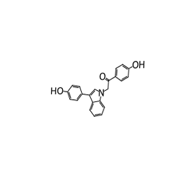 O=C(Cn1cc(-c2ccc(O)cc2)c2ccccc21)c1ccc(O)cc1